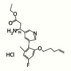 C=CCCCOc1cc(F)cc(C)c1-c1cncc([C@@H](N)CC(=O)OCC)c1.Cl